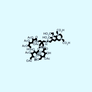 CC(=O)OCC(O)C(OC(C)=O)C(O)C(CONCC(CNOCCCC1CN(CC(=O)O)CCN(CC(=O)O)C1N(CC(=O)O)CC(=O)O)(CNC(=O)C(OC(C)=O)C(O)C(OC(C)=O)C(O)CO)CNC(=O)C(OC(C)=O)C(OC(C)=O)C(OC(C)=O)C(CO)OC(C)=O)OC(C)=O